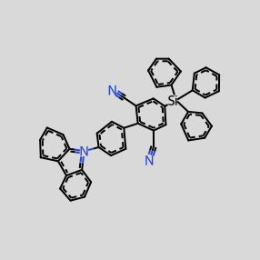 N#Cc1cc([Si](c2ccccc2)(c2ccccc2)c2ccccc2)cc(C#N)c1-c1ccc(-n2c3ccccc3c3ccccc32)cc1